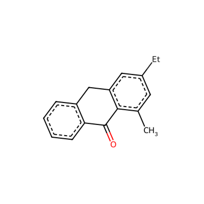 CCc1cc(C)c2c(c1)Cc1ccccc1C2=O